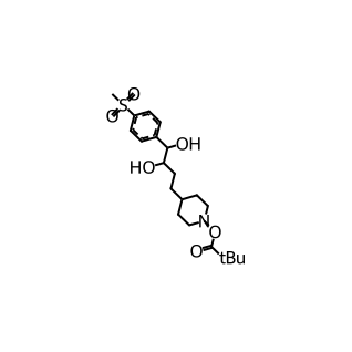 CC(C)(C)C(=O)ON1CCC(CCC(O)C(O)c2ccc(S(C)(=O)=O)cc2)CC1